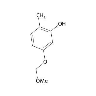 COCOc1ccc(C)c(O)c1